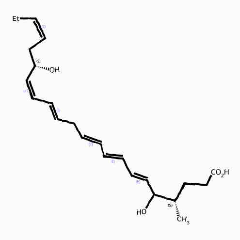 CC/C=C\C[C@H](O)/C=C\C=C\C/C=C/C=C/C=C/C(O)[C@@H](C)CCC(=O)O